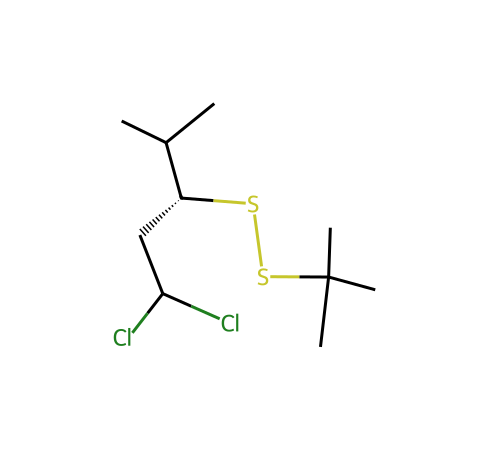 CC(C)[C@@H](CC(Cl)Cl)SSC(C)(C)C